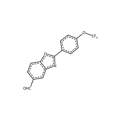 O=Cc1ccc2oc(-c3ccc(OC(F)(F)F)cc3)nc2c1